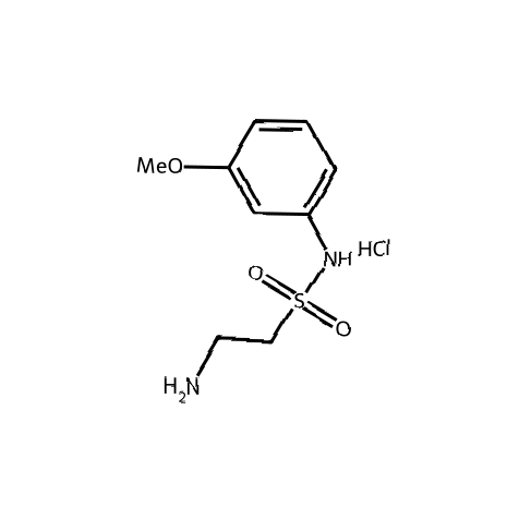 COc1cccc(NS(=O)(=O)CCN)c1.Cl